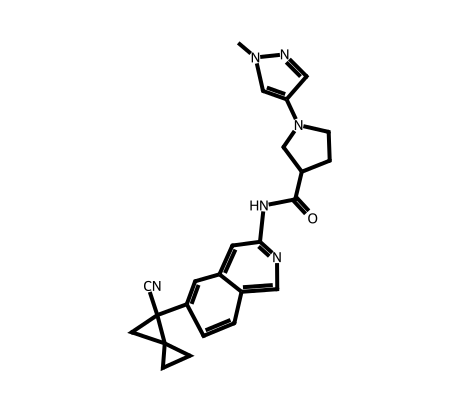 Cn1cc(N2CCC(C(=O)Nc3cc4cc(C5(C#N)CC56CC6)ccc4cn3)C2)cn1